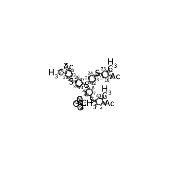 CC(=O)c1ccc(Sc2ccc([S+](c3ccc(Sc4ccc(C(C)=O)c(C)c4)cc3)c3ccc(Sc4ccc(C(C)=O)c(C)c4)cc3)cc2)cc1C.CS(=O)(=O)[O-]